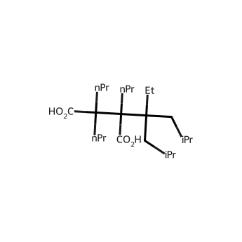 CCCC(CCC)(C(=O)O)C(CCC)(C(=O)O)C(CC)(CC(C)C)CC(C)C